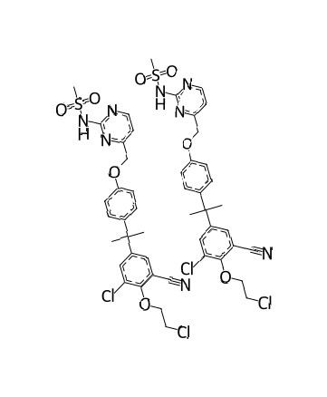 CC(C)(c1ccc(OCc2ccnc(NS(C)(=O)=O)n2)cc1)c1cc(Cl)c(OCCCl)c(C#N)c1.CC(C)(c1ccc(OCc2ccnc(NS(C)(=O)=O)n2)cc1)c1cc(Cl)c(OCCCl)c(C#N)c1